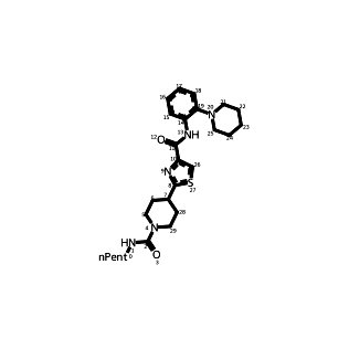 CCCCCNC(=O)N1CCC(c2nc(C(=O)Nc3ccccc3N3CCCCC3)cs2)CC1